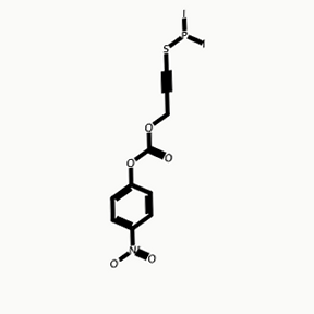 O=C(OCC#CSP(I)I)Oc1ccc([N+](=O)[O-])cc1